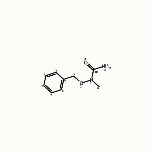 CN(OCc1ccccc1)C(N)=O